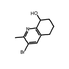 Cc1nc2c(cc1Br)CCCC2O